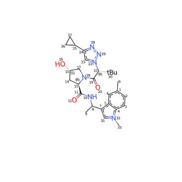 Cc1ccc2c(c1)c(C(C)NC(=O)[C@H]1C[C@H](O)CN1C(=O)[C@H](n1cc(C3CC3)nn1)C(C)(C)C)cn2C